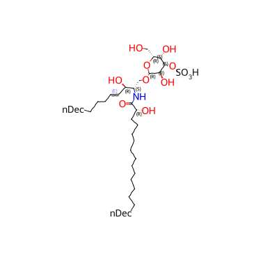 CCCCCCCCCCCCC/C=C/[C@@H](O)[C@H](CO[C@@H]1O[C@H](CO)[C@H](O)[C@H](OS(=O)(=O)O)[C@H]1O)NC(=O)[C@H](O)CCCCCCCCCCCCCCCCCCCCCC